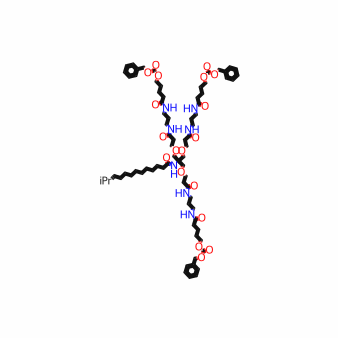 CC(C)CCCCCCCCCCC(=O)NC(COCCC(=O)NCCCNC(=O)CCCCOC(=O)OCc1ccccc1)(COCCC(=O)NCCCNC(=O)CCCCOC(=O)OCc1ccccc1)COCCC(=O)NCCCNC(=O)CCCCOC(=O)OCc1ccccc1